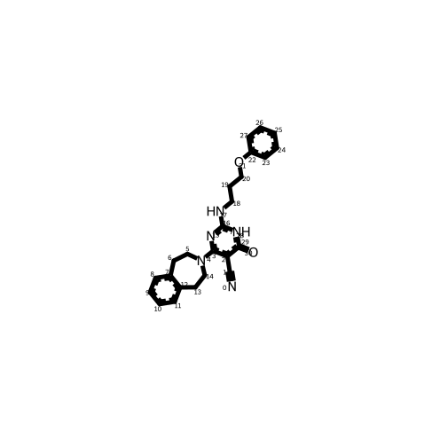 N#Cc1c(N2CCc3ccccc3CC2)nc(NCCCOc2ccccc2)[nH]c1=O